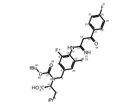 CC(C)C[C@@H](C(=O)O)N(Cc1cc(F)c(NC(=N)CC(=O)c2ccc(F)cc2)c(F)c1)C(=O)OC(C)(C)C